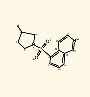 CC1CCN(S(=O)(=O)c2cccc3cnccc23)C1